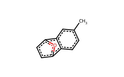 Cc1ccc2c3ccc(o3)c2c1